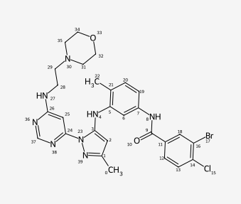 Cc1cc(Nc2cc(NC(=O)c3ccc(Cl)c(Br)c3)ccc2C)n(-c2cc(NCCN3CCOCC3)ncn2)n1